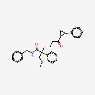 CCCC(CCCC(=O)C1CC1c1ccccc1)(C(=O)NCc1ccccc1)c1ccccc1